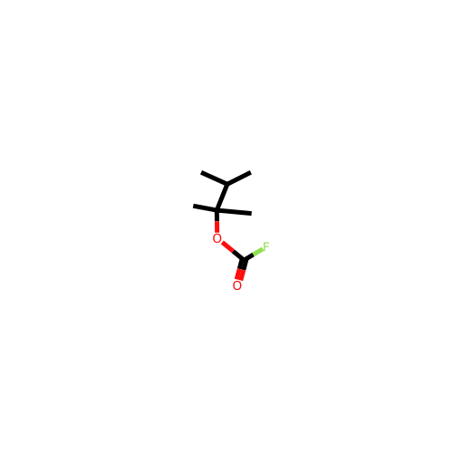 CC(C)C(C)(C)OC(=O)F